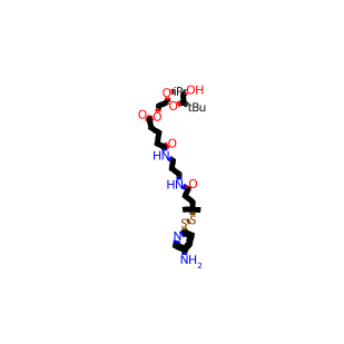 CC(C)OC(COC(=O)CCCC(=O)NCCCNC(=O)CCC(C)(C)SSc1ccc(N)cn1)OC(CO)C(C)(C)C